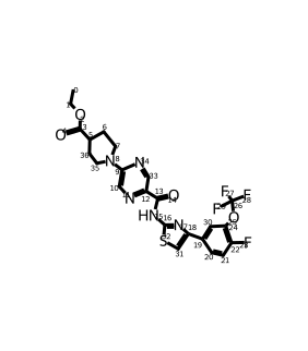 CCOC(=O)C1CCN(c2cnc(C(=O)Nc3nc(-c4ccc(F)c(OC(F)(F)F)c4)cs3)cn2)CC1